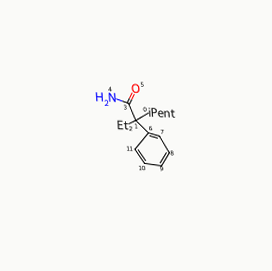 CCCC(C)C(CC)(C(N)=O)c1ccccc1